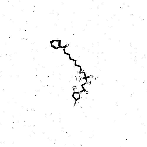 CC(C)(CNCCCCCCC(=O)c1ccccc1)NCC(=O)N1C[C@@H](F)C[C@H]1C#N